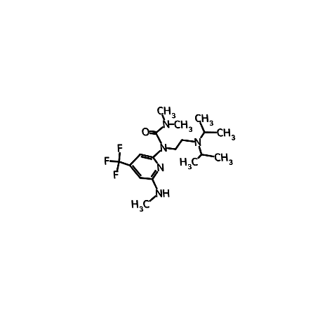 CNc1cc(C(F)(F)F)cc(N(CCN(C(C)C)C(C)C)C(=O)N(C)C)n1